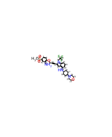 CS(=O)(=O)c1ccc(OCC#Cc2cc3c(N[C@H]4CC[C@@H](N5CCOCC5)CC4)cccc3n2CC(F)(F)F)c(N)c1